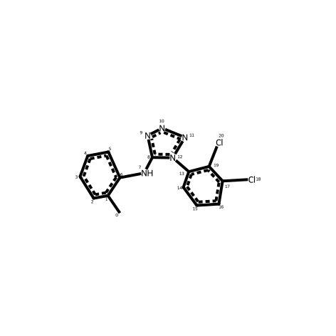 Cc1ccccc1Nc1nnnn1-c1cccc(Cl)c1Cl